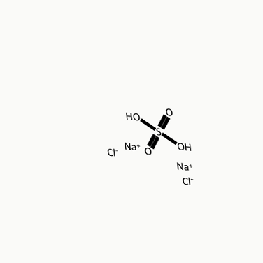 O=S(=O)(O)O.[Cl-].[Cl-].[Na+].[Na+]